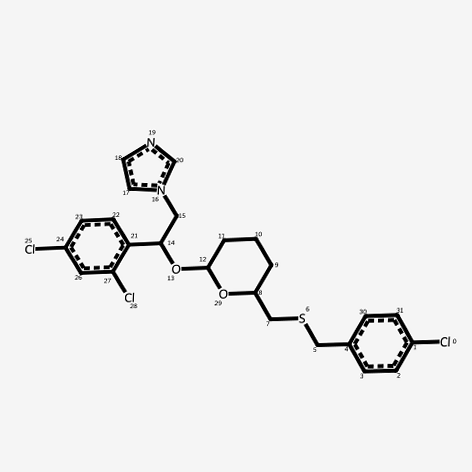 Clc1ccc(CSCC2CCCC(OC(Cn3ccnc3)c3ccc(Cl)cc3Cl)O2)cc1